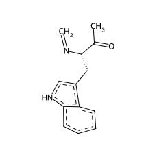 C=N[C@@H](Cc1c[nH]c2ccccc12)C(C)=O